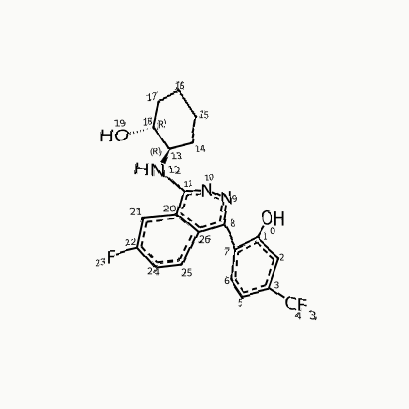 Oc1cc(C(F)(F)F)ccc1-c1nnc(N[C@@H]2CCCC[C@H]2O)c2cc(F)ccc12